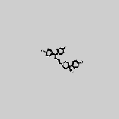 N#CC1(c2ccc(Br)cc2)CCN(CCCC(c2ccc(F)cc2)c2ccc(F)cc2)CC1